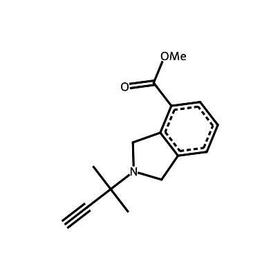 C#CC(C)(C)N1Cc2cccc(C(=O)OC)c2C1